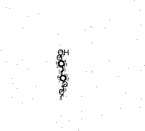 CCOCCOc1ccc(C=Cc2ccc(OCO)cc2)cc1